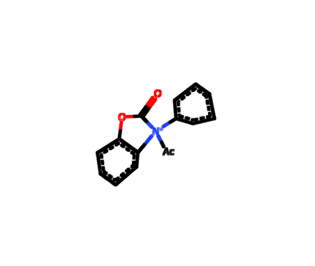 CC(=O)[N+]1(c2ccccc2)C(=O)Oc2ccccc21